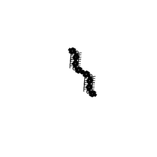 Cc1ccc(Oc2c(F)c(F)c(-c3c(F)c(F)c(Oc4ccc(C(C)(C)c5ccc(Oc6c(F)c(F)c(-c7c(F)c(F)c(Oc8ccc(C)cc8)c(F)c7F)c(F)c6F)cc5)cc4)c(F)c3F)c(F)c2F)cc1